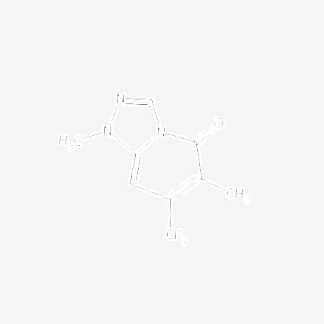 Cc1c(C(F)(F)F)cc2n(C)ncn2c1=O